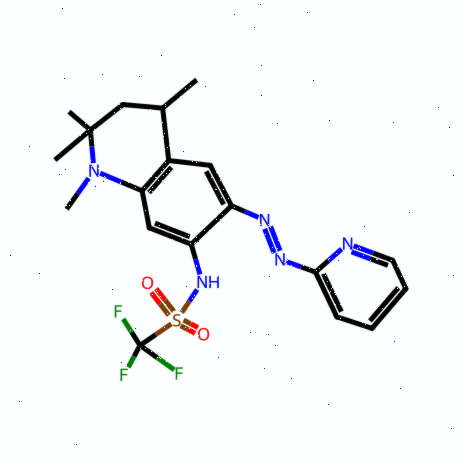 CC1CC(C)(C)N(C)c2cc(NS(=O)(=O)C(F)(F)F)c(N=Nc3ccccn3)cc21